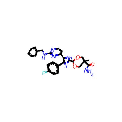 CC1(C(N)=O)COC(c2nc(-c3ccc(F)cc3)c(-c3ccnc(NCc4ccccc4)n3)[nH]2)OC1